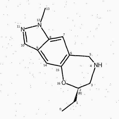 CC[C@@H]1CNCc2cc3c(cnn3C)cc2O1